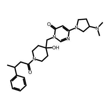 CC(CC(=O)N1CCC(O)(Cn2cnc(N3CCC(N(C)C)C3)cc2=O)CC1)c1ccccc1